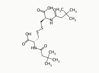 CC(C)(C)CC(=O)N[C@@H](CSSC[C@H](NC(=O)CC(C)(C)C)C(=O)O)C(=O)O